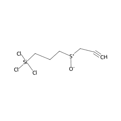 C#CC[S+]([O-])CCC[Si](Cl)(Cl)Cl